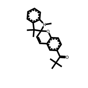 CN1c2ccccc2C(C)(C)C12C=Cc1cc(C(=O)C(C)(C)C)ccc1O2